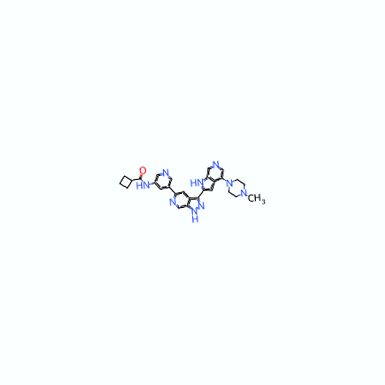 CN1CCN(c2cncc3[nH]c(-c4n[nH]c5cnc(-c6cncc(NC(=O)C7CCC7)c6)cc45)cc23)CC1